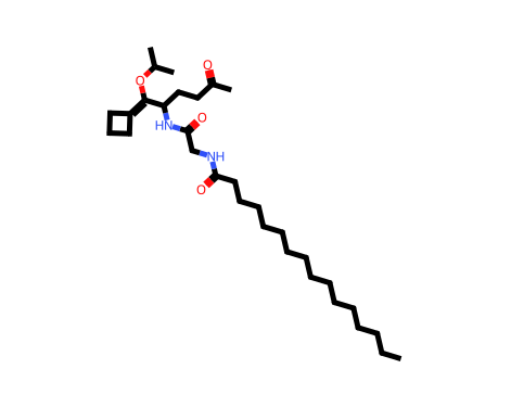 CCCCCCCCCCCCCCCC(=O)NCC(=O)NC(CCC(C)=O)C(OC(C)C)=C1CCC1